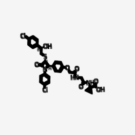 O=C(COc1ccc([C@@H]2[C@@H](SC[C@@H](O)c3ccc(Cl)cc3)C(=O)N2c2ccc(Cl)cc2)cc1)NCC(=O)NC1(C(=O)O)CC1